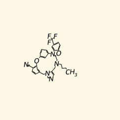 CCCCN1CC(=O)N(c2cccc(C(F)(F)F)c2)c2cccc(c2)Oc2cc(ccc2C#N)Cn2cncc2C1